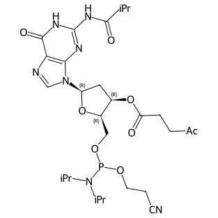 CC(=O)CCC(=O)O[C@@H]1C[C@H](n2cnc3c(=O)[nH]c(NC(=O)C(C)C)nc32)O[C@@H]1COP(OCCC#N)N(C(C)C)C(C)C